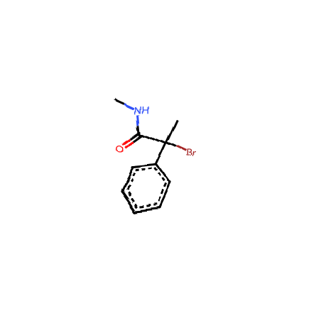 CNC(=O)C(C)(Br)c1ccccc1